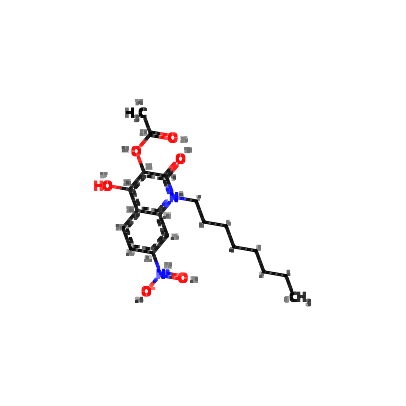 CCCCCCCCn1c(=O)c(OC(C)=O)c(O)c2ccc([N+](=O)[O-])cc21